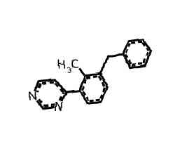 Cc1c(Cc2ccccc2)cccc1-c1ccncn1